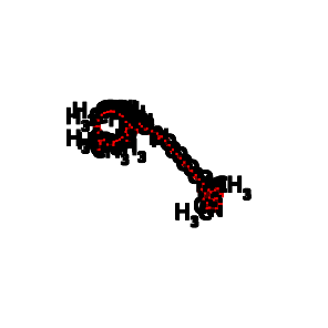 COC(=O)N[C@H]1C[C@@H]2CC[C@@H](C)[C@@](O)(O2)C(=O)C(=O)N2CCCC[C@H]2C(=O)O[C@H]([C@H](N)C[C@@H]2CC[C@@H](OCCCCc3cn(CCOCCOCCOCCOCCOCCOCCC(=O)N4CCN(c5ccc(-n6c(=O)n(C)c7cnc8ccc(-c9ccc(OC)nc9)cc8c76)cc5C(F)(F)F)CC4)nn3)[C@H](OC)C2)CC(=O)[C@H](C)/C=C(\C)[C@@H](O)[C@@H](O)C(=O)[C@H](C)C[C@H](C)/C=C/C=C/C=C/1C